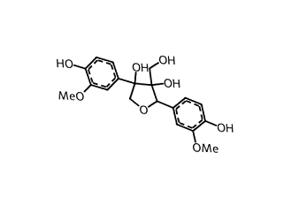 COc1cc(C2OCC(O)(c3ccc(O)c(OC)c3)C2(O)CO)ccc1O